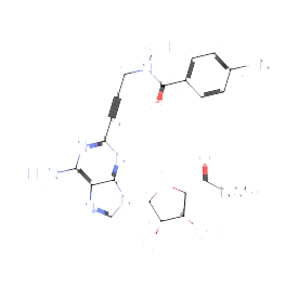 CNC(=O)[C@H]1O[C@@H](n2cnc3c(N)nc(C#CCN(C)C(=O)c4ccc(C#N)cc4)nc32)[C@H](O)[C@@H]1O